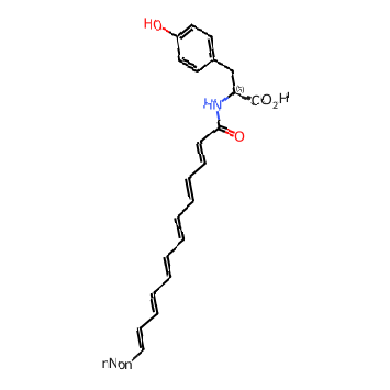 CCCCCCCCCC=CC=CC=CC=CC=CC=CC(=O)N[C@@H](Cc1ccc(O)cc1)C(=O)O